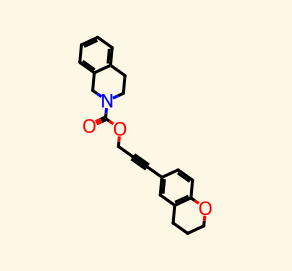 O=C(OCC#Cc1ccc2c(c1)CCCO2)N1CCc2ccccc2C1